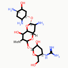 CNC1C(O[C@H]2OC(CO)[C@@H](NC(=N)N)CC2O)O[C@H]2CC(N)[C@@H](O[C@H]3CC(O)[C@H](N)CC3N)OC2C1O